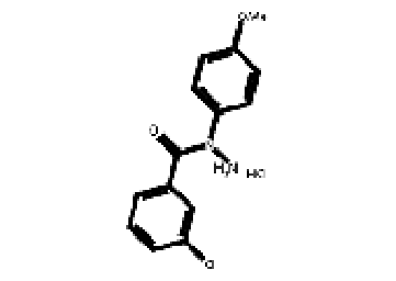 COc1ccc(N(N)C(=O)c2cccc(Cl)c2)cc1.Cl